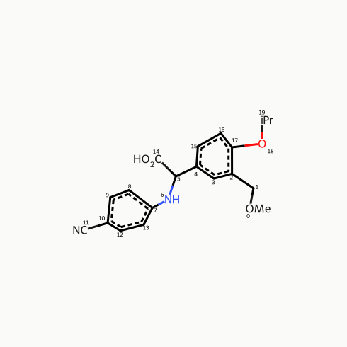 COCc1cc(C(Nc2ccc(C#N)cc2)C(=O)O)ccc1OC(C)C